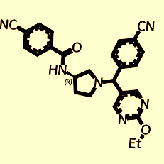 CCOc1ncc(C(c2ccc(C#N)cc2)N2CC[C@@H](NC(=O)c3ccc(C#N)cc3)C2)cn1